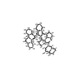 c1ccc2cc(-c3cc4cccc5c4c4c3cccc4c3c5c4ccccc4n3-c3cc4c5ccccc5ccc4c4ccccc34)ccc2c1